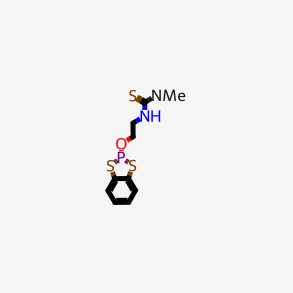 CNC(=S)NCCOP1Sc2ccccc2S1